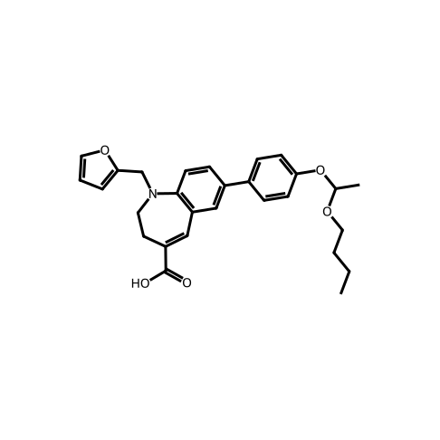 CCCCOC(C)Oc1ccc(-c2ccc3c(c2)C=C(C(=O)O)CCN3Cc2ccco2)cc1